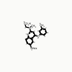 CCCCCCc1ccc2nc(N(C)CC(=O)O)cc(Oc3cccc(C)c3)c2c1